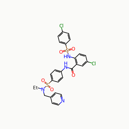 CCN(Cc1ccncc1)S(=O)(=O)c1ccc(NC(=O)c2cc(Cl)ccc2NS(=O)(=O)c2ccc(Cl)cc2)cc1